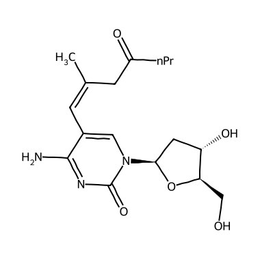 CCCC(=O)CC(C)=Cc1cn([C@H]2C[C@H](O)[C@@H](CO)O2)c(=O)nc1N